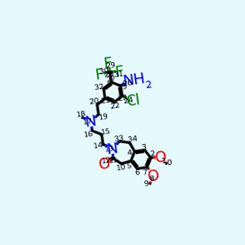 COc1cc2c(cc1OC)CC(=O)N(CCCN(C)CCc1cc(Cl)c(N)c(C(F)(F)F)c1)CC2